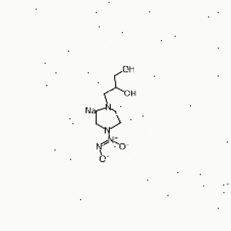 [Na+].[O-]N=[N+]([O-])N1CCN(CC(O)CO)CC1